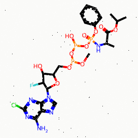 COP(OCC1OC(n2cnc3c(N)nc(Cl)nc32)C(F)C1O)OP(O)OP(=O)(NC(C)C(=O)OC(C)C)Oc1ccccc1